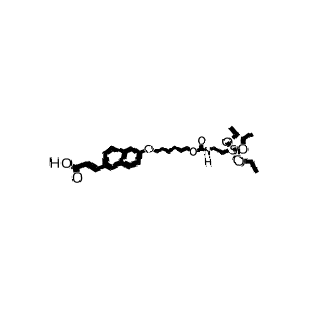 CCO[Si](CCNC(=O)OCCCCCCOc1ccc2cc(C=CC(=O)O)ccc2c1)(OCC)OCC